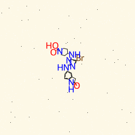 O=C1Cc2cc(Nc3ncc(Br)c(NC4CCN(C(=O)O)CC4)n3)ccc2N1